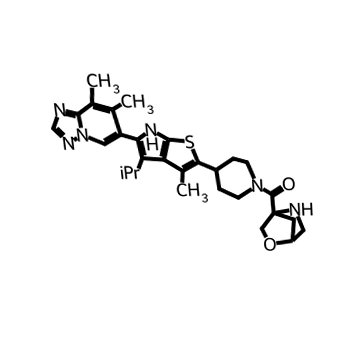 Cc1c(-c2[nH]c3sc(C4CCN(C(=O)C56COC(CN5)C6)CC4)c(C)c3c2C(C)C)cn2ncnc2c1C